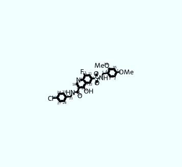 COc1ccc(CNS(=O)(=O)c2cc(F)c3ncc(C(=O)NCc4ccc(Cl)cc4)c(O)c3c2)c(OC)c1